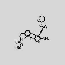 CC(C)(C)OC(=O)N1CCc2ccc(Oc3c(F)cnc(N)c3C#CC3(OC4CCCCO4)CC3)cc2C1